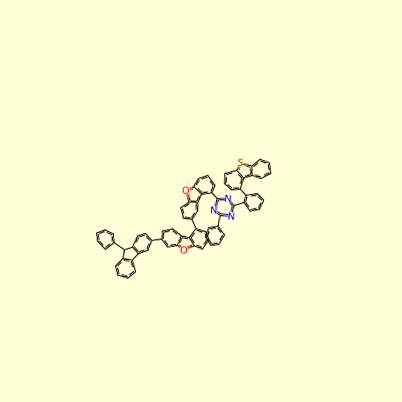 c1ccc(-c2nc(-c3ccccc3-c3cccc4sc5ccccc5c34)nc(-c3cccc4oc5ccc(-c6cccc7oc8cc(-c9ccc%10c(c9)-c9ccccc9C%10c9ccccc9)ccc8c67)cc5c34)n2)cc1